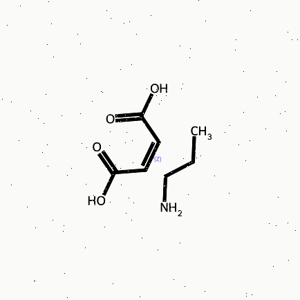 CCCN.O=C(O)/C=C\C(=O)O